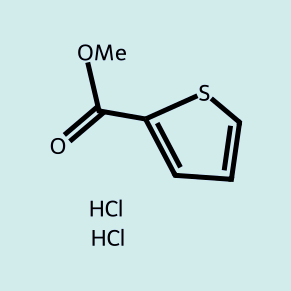 COC(=O)c1cccs1.Cl.Cl